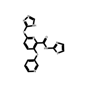 O=C(Nc1nccs1)c1nc(Sc2nnc[nH]2)ccc1Sc1cccnc1